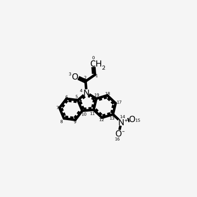 C=CC(=O)n1c2ccccc2c2cc([N+](=O)[O-])ccc21